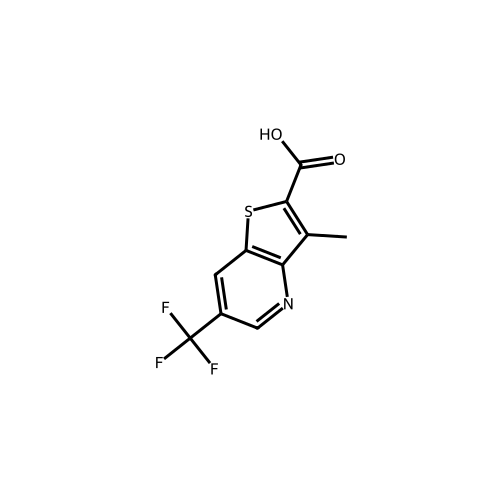 Cc1c(C(=O)O)sc2cc(C(F)(F)F)cnc12